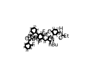 CCCCc1nn(-c2cc(NC(=O)CC)ccc2C(F)(F)F)c(C#N)c1Cc1ccc(-c2ccccc2S(=O)(=O)NC(=O)c2ccccc2F)cc1F